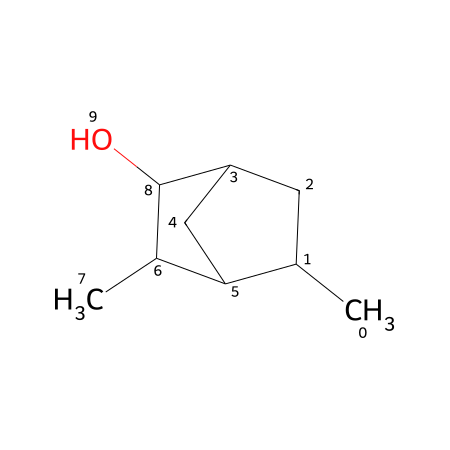 CC1CC2CC1C(C)C2O